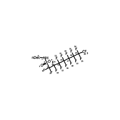 CCCCCCCCCCNS(=O)(=O)C(F)(F)C(F)(F)C(F)(F)C(F)(F)C(F)(F)C(F)(F)C(F)(F)C(F)(F)F